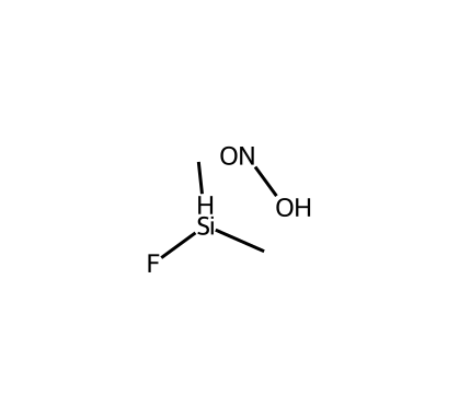 C[SiH](C)F.O=NO